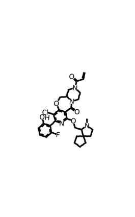 C=CC(=O)N1CCN2C(=O)c3c(OCC4N(C)CCC45CCCC5)nc(-c4c(O)cccc4F)c(Cl)c3OCC2C1